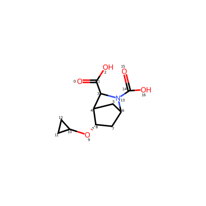 O=C(O)C1C2CC(C[C@@H]2OC2CC2)N1C(=O)O